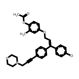 CC(=O)Oc1ccc(OC/C=C(/c2ccc(Cl)cc2)c2ccc(C#CCN3CCOCC3)cc2)cc1C